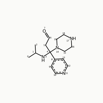 CC(C)NC(CC=O)(c1ccncc1)N1CCNCC1